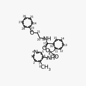 Cc1ccncc1NS(=O)(=O)c1ccccc1C(=O)NCCOc1ccccc1